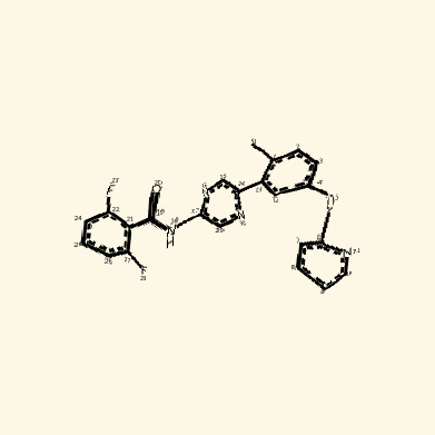 Cc1ccc(Oc2ccccn2)cc1-c1cnc(NC(=O)c2c(F)cccc2F)cn1